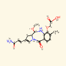 COC1Nc2c(ccc(C)c2OCC(=O)O)C(=O)N2C=C(C=CC(N)=O)CC12